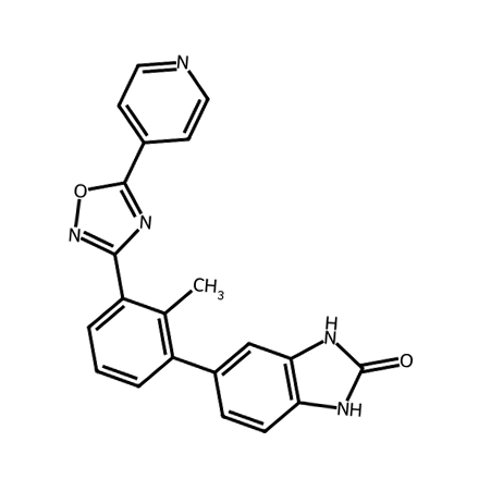 Cc1c(-c2ccc3[nH]c(=O)[nH]c3c2)cccc1-c1noc(-c2ccncc2)n1